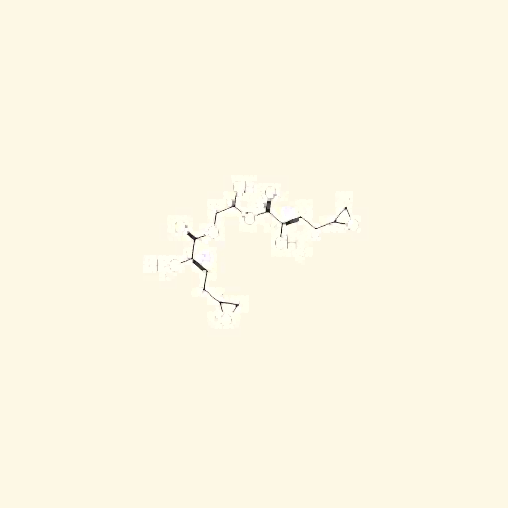 C/C(=C\CC1CO1)C(=O)OCC(C)OC(=O)/C(C)=C/CC1CO1